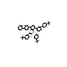 CC(C)(C)c1ccc(Nc2cc3oc4cc(C(C)(C)C)ccc4c3cc2-c2ccc3c4cc5sc6ccccc6c5cc4n4c3c2Bc2sc3ccc(C(C)(C)C)cc3c2-4)cc1